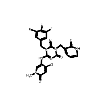 Cn1cc(Nc2nc(=O)n(Cc3ccc[nH]c3=O)c(=O)n2Cc2cc(F)c(F)c(F)c2)c(Cl)cc1=O